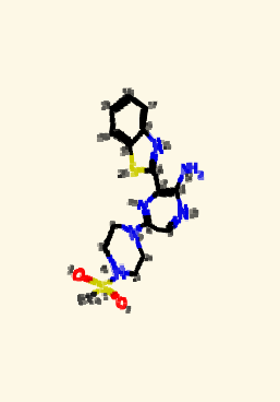 CCS(=O)(=O)N1CCN(c2cnc(N)c(-c3nc4ccccc4s3)n2)CC1